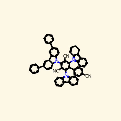 N#Cc1ccc(-c2c(-n3c4c(c5ccccc53)CCC=C4)c(C#N)c(N3c4ccc(-c5ccccc5)cc4C4C=C(c5ccccc5)C=CC43)c(C#N)c2-n2c3ccccc3c3ccccc32)cc1